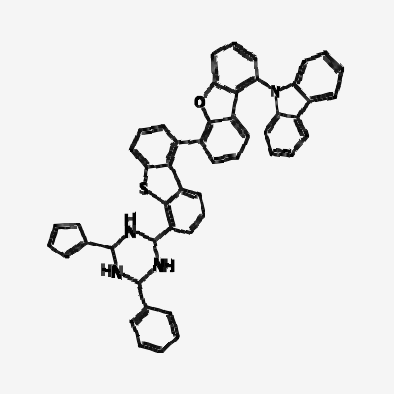 C1=CC=C(C2NC(c3ccccc3)NC(c3cccc4c3sc3cccc(-c5cccc6c5oc5cccc(-n7c8ccccc8c8ccccc87)c56)c34)N2)C=1